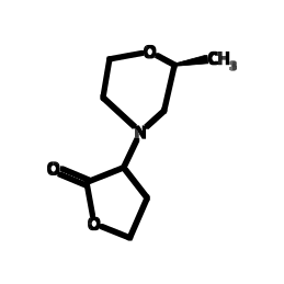 C[C@H]1CN(C2CCOC2=O)CCO1